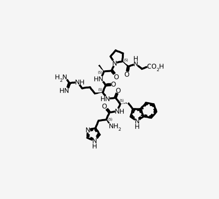 C[C@H](NC(=O)[C@H](CCCNC(=N)N)NC(=O)[C@H](Cc1c[nH]c2ccccc12)NC(=O)[C@@H](N)Cc1c[nH]cn1)C(=O)N1CCC[C@H]1C(=O)NCC(=O)O